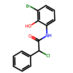 O=C(Nc1cccc(Br)c1O)C(Cl)c1ccccc1